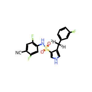 [2H]C([2H])(c1cccc(F)c1)c1c[nH]cc1S(=O)(=O)Nc1cc(F)c(C#N)cc1F